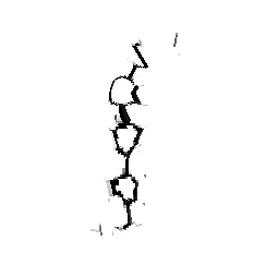 CCCCC1CCC(c2ccc(-c3ccc(CC)cc3)cc2)CC1